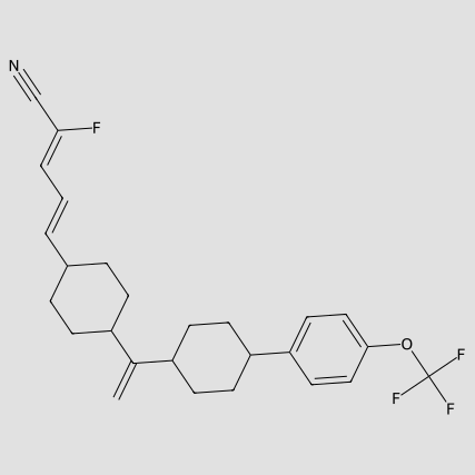 C=C(C1CCC(C=CC=C(F)C#N)CC1)C1CCC(c2ccc(OC(F)(F)F)cc2)CC1